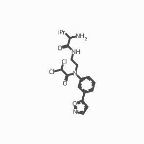 CC(C)C(N)C(=O)NCCN(C(=O)C(Cl)Cl)c1cccc(-c2ccno2)c1